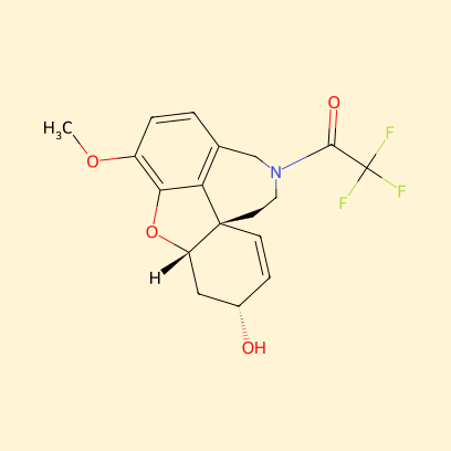 COc1ccc2c3c1O[C@H]1C[C@@H](O)C=C[C@@]31CCN(C(=O)C(F)(F)F)C2